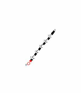 C=C=C=C=C=C=O